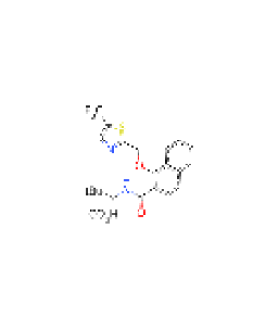 CC(C)(C)C(NC(=O)c1ccc2ccccc2c1OCc1ncc(C(F)(F)F)s1)C(=O)O